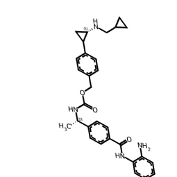 C[C@H](NC(=O)OCc1ccc(C2C[C@@H]2NCC2CC2)cc1)c1ccc(C(=O)Nc2ccccc2N)cc1